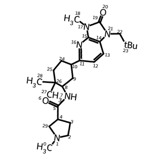 CN1CCC(C(=O)NC2CC(c3ccc4c(n3)n(C)c(=O)n4CC(C)(C)C)CCC2(C)C)C1